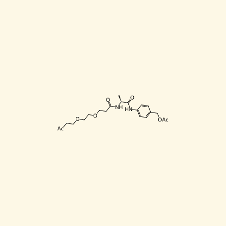 CC(=O)CCOCCOCCC(=O)N[C@@H](C)C(=O)Nc1ccc(COC(C)=O)cc1